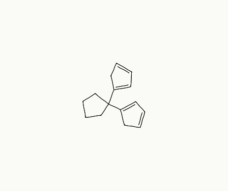 C1=CCC(C2(C3=CC=CC3)CCCC2)=C1